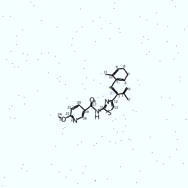 C=C(C)/C(=C\C1=CCCC=C1C)c1csc(NC(=O)c2ccc(OC)nc2)n1